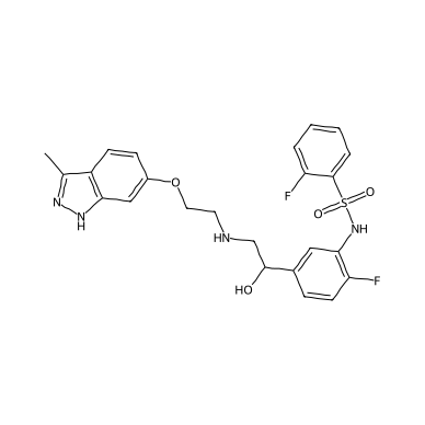 Cc1n[nH]c2cc(OCCNCC(O)c3ccc(F)c(NS(=O)(=O)c4ccccc4F)c3)ccc12